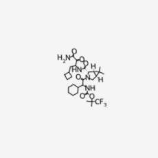 CC1(C)[C@@H]2[C@@H](C(=O)NC(CC3CCC3)C(=O)C(N)=O)N(C(=O)[C@@H](NC(=O)OC(C)(C)C(F)(F)F)C3CCCCC3)C[C@@H]21